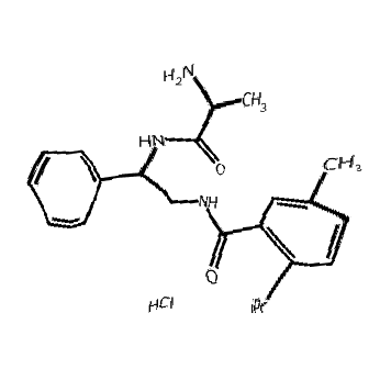 Cc1ccc(C(C)C)c(C(=O)NCC(NC(=O)C(C)N)c2ccccc2)c1.Cl